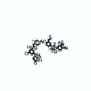 C[C@@H]1CN(CCOc2ccc(N3C(=S)N(c4ccc(C#N)c(C(F)(F)F)c4)C(=O)C3(C)C)cc2CCF)CCN1CC(=O)Nc1cc(Cl)cc(NC2CCC(=O)NC2=O)c1